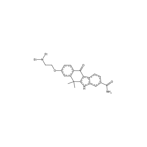 CCN(CC)CCOc1ccc2c(c1)C(C)(C)c1[nH]c3cc(C(N)=O)ccc3c1C2=O